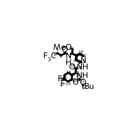 COCC(NC(=O)CCC(F)(F)F)c1ccnc(NC(=O)[C@@H](NC(=O)OC(C)(C)C)C2CCC(F)(F)CC2)c1